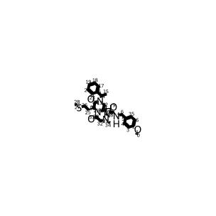 COc1ccc(CNC(=O)N2[C@H]3CN(C(C)c4ccccc4)C(=O)[C@H](CCSC)N3C(=O)CN2C)cc1